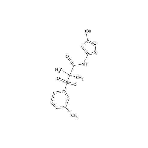 CC(C)(C)c1cc(NC(=O)C(C)(C)S(=O)(=O)c2cccc(C(F)(F)F)c2)no1